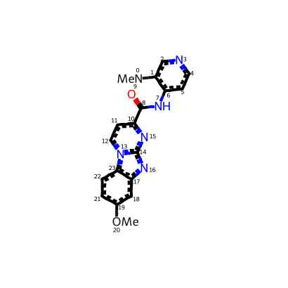 CNc1cnccc1NC(=O)c1ccn2c(n1)nc1cc(OC)ccc12